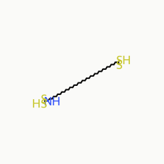 S=C(S)CCCCCCCCCCCCCCCCCCCCCCCCCCCCCCCCCNC(=S)S